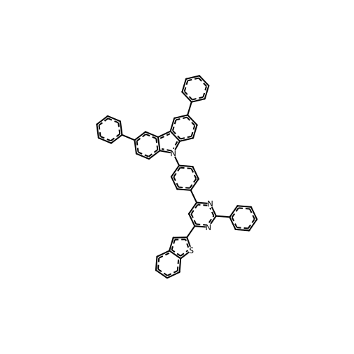 c1ccc(-c2ccc3c(c2)c2cc(-c4ccccc4)ccc2n3-c2ccc(-c3cc(-c4cc5ccccc5s4)nc(-c4ccccc4)n3)cc2)cc1